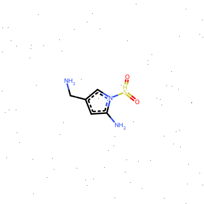 NCc1cc(N)n([SH](=O)=O)c1